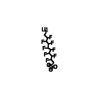 O=S(=O)([O-])CC(F)C(F)C(F)C(F)C(F)C(F)C(F)C(F)CF.[Li+]